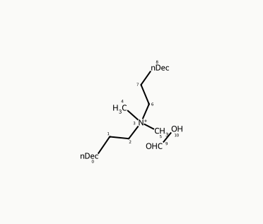 CCCCCCCCCCCC[N+](C)(C)CCCCCCCCCCCC.O=[C-]O